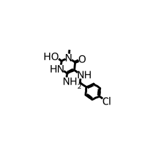 CN1C(=O)C(NCc2ccc(Cl)cc2)=C(N)NC1O